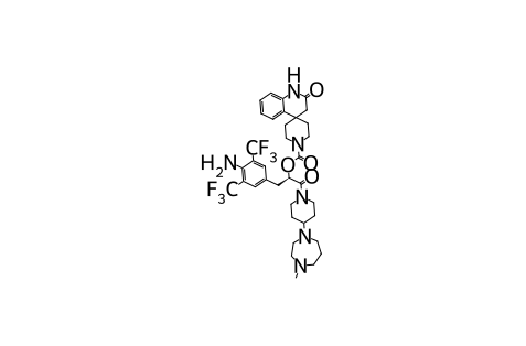 CN1CCCN(C2CCN(C(=O)[C@@H](Cc3cc(C(F)(F)F)c(N)c(C(F)(F)F)c3)OC(=O)N3CCC4(CC3)CC(=O)Nc3ccccc34)CC2)CC1